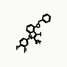 CC(C)c1c(I)c2c(OCc3ccccc3)cccc2n1-c1ccc(F)c(F)c1